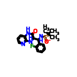 CC(C)(C)[S@+]([O-])N[C@H](c1ccccc1F)C1Nc2ncccc2NC1=O